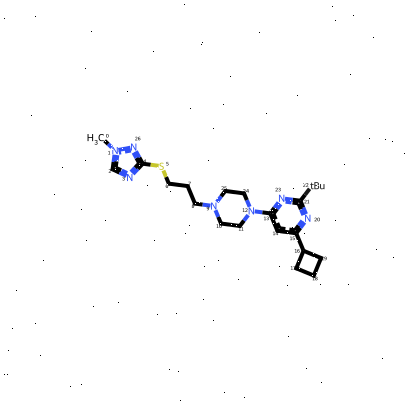 Cn1cnc(SCCCN2CCN(c3cc(C4CCC4)nc(C(C)(C)C)n3)CC2)n1